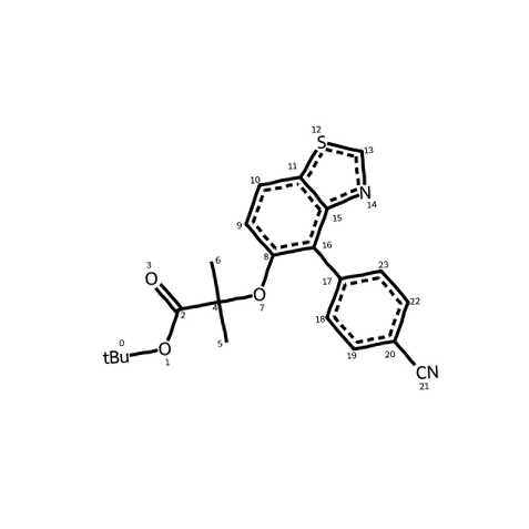 CC(C)(C)OC(=O)C(C)(C)Oc1ccc2scnc2c1-c1ccc(C#N)cc1